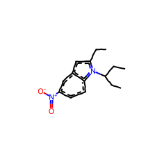 CCc1cc2cc([N+](=O)[O-])ccc2n1C(CC)CC